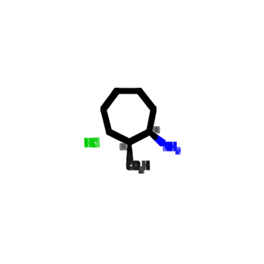 Cl.N[C@@H]1CCCCC[C@@H]1C(=O)O